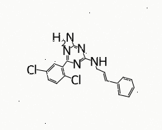 Nc1nc(NCC=Cc2ccccc2)nc(-c2cc(Cl)ccc2Cl)n1